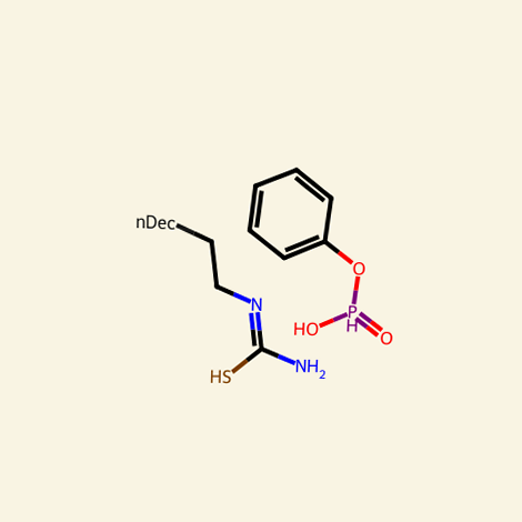 CCCCCCCCCCCCN=C(N)S.O=[PH](O)Oc1ccccc1